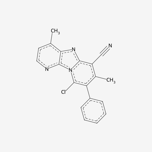 Cc1c(-c2ccccc2)c(Cl)n2c(nc3c(C)ccnc32)c1C#N